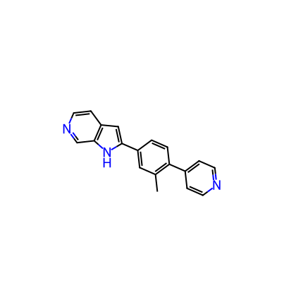 Cc1cc(-c2cc3ccncc3[nH]2)ccc1-c1ccncc1